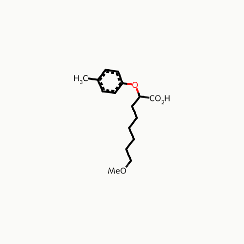 COCCCCCCC(Oc1ccc(C)cc1)C(=O)O